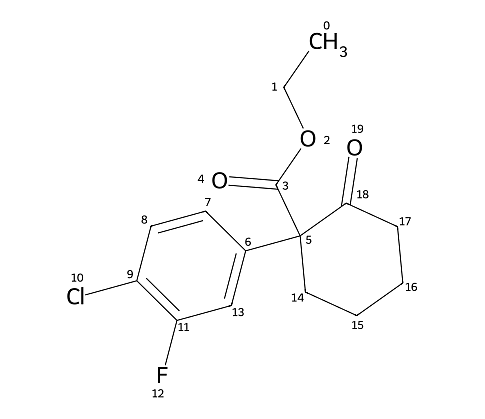 CCOC(=O)C1(c2ccc(Cl)c(F)c2)CCCCC1=O